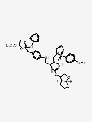 CCOC(=O)[C@H](C)OP(=O)(Cc1ccc(NC[C@H](NC(=O)O[C@H]2CO[C@H]3OCC[C@H]32)[C@H](O)CN(CC(C)C)S(=O)(=O)c2ccc(OC)cc2)cc1)Oc1ccccc1